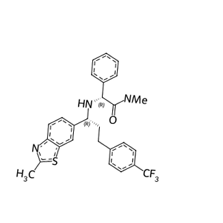 CNC(=O)[C@H](N[C@H](CCc1ccc(C(F)(F)F)cc1)c1ccc2nc(C)sc2c1)c1ccccc1